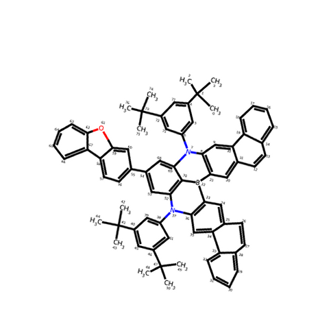 CC(C)(C)c1cc(N2c3cc4c(ccc5ccccc54)cc3B3c4cc5ccc6ccccc6c5cc4N(c4cc(C(C)(C)C)cc(C(C)(C)C)c4)c4cc(-c5ccc6c(c5)oc5ccccc56)cc2c43)cc(C(C)(C)C)c1